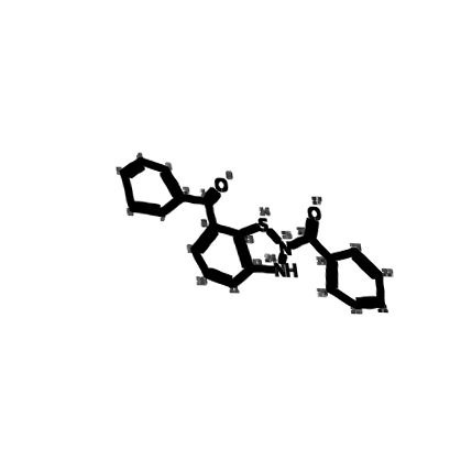 O=C(c1ccccc1)c1cccc2c1SN(C(=O)c1ccccc1)N2